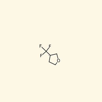 FC(F)(F)[C]1CCOC1